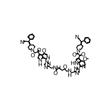 COc1cnc(-n2cnc(CNCC(=O)CCC(=O)NCc3ncn(-c4ncc(OC)c5c(C(=O)C(=O)N6CCC(=C(C#N)c7ccccc7)CC6)c[nH]c45)n3)n2)c2[nH]cc(C(=O)C(=O)N3CCC(=C(C#N)c4ccccc4)CC3)c12